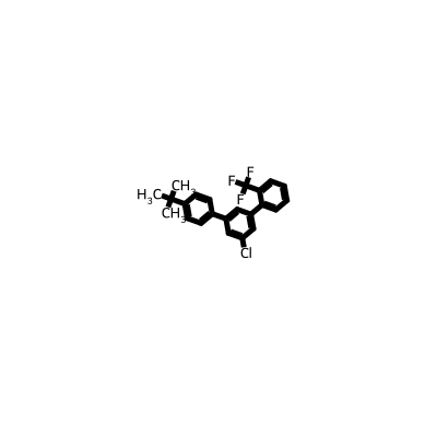 CC(C)(C)c1ccc(-c2cc(Cl)cc(-c3ccccc3C(F)(F)F)c2)cc1